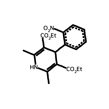 CCOC(=O)C1=C(C)NC(C)=C(C(=O)OCC)C1c1ccccc1[N+](=O)[O-]